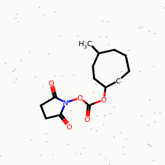 CC1CCCCC(OC(=O)ON2C(=O)CCC2=O)CC1